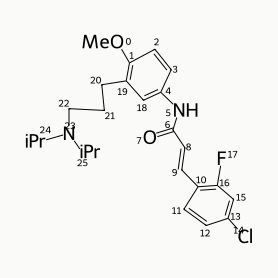 COc1ccc(NC(=O)/C=C/c2ccc(Cl)cc2F)cc1CCCN(C(C)C)C(C)C